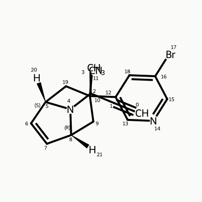 C#CC(C)N1[C@@H]2C=C[C@H]1CC(C#N)(c1cncc(Br)c1)C2